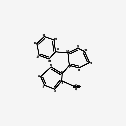 CCC[CH]c1ccccc1-c1ccccc1-c1ccccc1